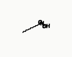 CCCCCCCCCCCCCCCC(=O)N(C)CCO